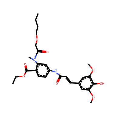 CCCCOCC(=O)N(C)c1cc(NC(=O)C=Cc2cc(OC)c(O)c(OC)c2)ccc1C(=O)OCC